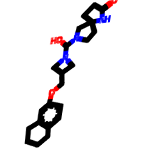 O=C1CCC2(CCN(C(O)N3CC(COc4ccc5c(c4)CCCC5)C3)C2)N1